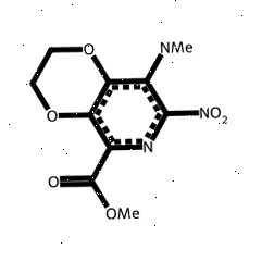 CNc1c([N+](=O)[O-])nc(C(=O)OC)c2c1OCCO2